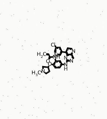 C=CC(=O)Nc1cc(Nc2ncc3nccc(-c4cncc(Cl)c4)c3n2)ccc1OC1CCN(C)C1